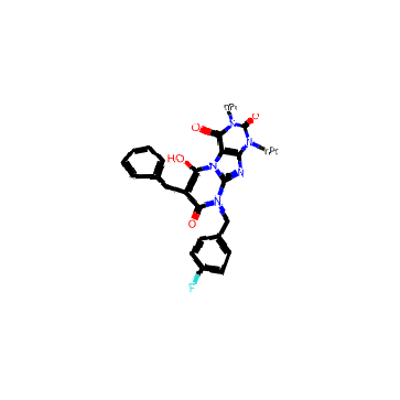 CCCn1c(=O)c2c(nc3n(Cc4ccc(F)cc4)c(=O)c(Cc4ccccc4)c(O)n23)n(CCC)c1=O